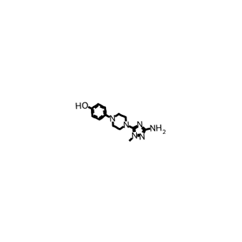 Cn1nc(N)nc1N1CCN(c2ccc(O)cc2)CC1